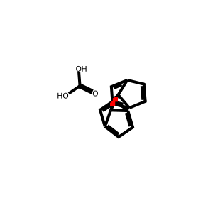 C1=CC2=CC=C1C21CCCCC12C1=CC=C2C=C1.O=C(O)O